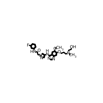 COc1cc2c(Nc3cnn(CC(=O)Nc4cccc(F)c4)c3)ncnc2cc1OCCCN(C)CCO